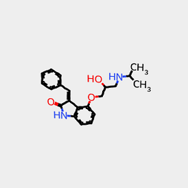 CC(C)NCC(O)COc1cccc2c1C(=Cc1ccccc1)C(=O)N2